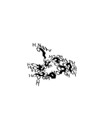 NNC(=O)CCCO[C@@H]1OC(CO[C@H]2OC(CO[C@H]3OC(CO)[C@@H](O)[C@H](O)C3O[C@H]3OC(CO)[C@@H](O)[C@H](P)C3O)[C@@H](O)[C@H](O)C2O)[C@@H](O)[C@H](O[C@H]2OC(CO)[C@@H](O)[C@H](O)C2O[C@H]2OC(CO)[C@@H](O)[C@H](O)C2OC(=O)c2ccccc2)C1O